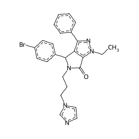 CCn1nc(-c2ccccc2)c2c1C(=O)N(CCCn1ccnc1)C2c1ccc(Br)cc1